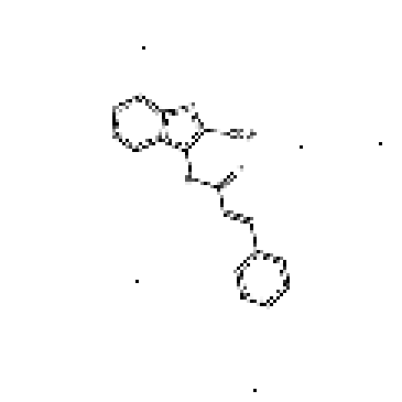 O=C(C=Cc1ccccc1)Nc1c(C(=O)O)oc2ccccc12